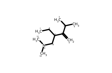 C=C(C(C)C)C(CC)CN(C)C